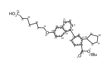 CC(C)(C)OC(=O)c1ccc(-c2ncnc3cc(OCCCCCCC(=O)O)ccc23)cc1C1CCCC1